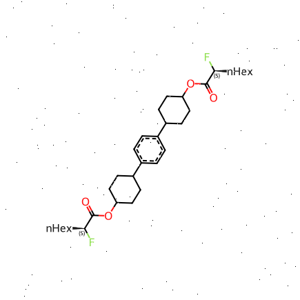 CCCCCC[C@H](F)C(=O)OC1CCC(c2ccc(C3CCC(OC(=O)[C@@H](F)CCCCCC)CC3)cc2)CC1